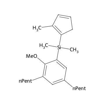 CCCCCc1cc(CCCCC)c(OC)c([Si](C)(C)C2=C(C)C=CC2)c1